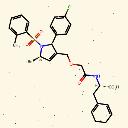 Cc1ccccc1S(=O)(=O)N1C(c2ccc(Cl)cc2)C(COCC(=O)N[C@@H](CC2=CCCC=C2)C(=O)O)=C[C@H]1C(C)(C)C